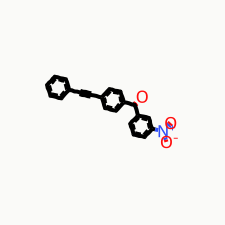 O=C(c1ccc(C#Cc2ccccc2)cc1)c1cccc([N+](=O)[O-])c1